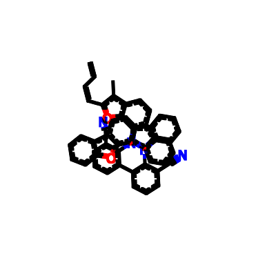 C=C/C=C\c1oc2c(ccc3c4ccccc4n(-c4c(C#N)cccc4-c4cccc(C#N)c4-n4c5ccccc5c5ccc6c7ccccc7oc6c54)c32)c1C